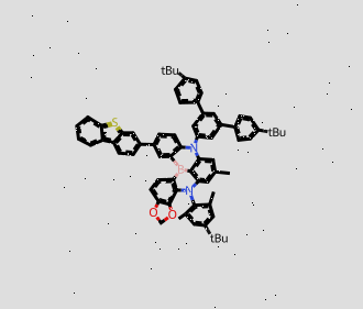 Cc1cc2c3c(c1)N(c1c(C)cc(C(C)(C)C)cc1C)c1c(ccc4c1OCO4)B3c1cc(-c3ccc4c(c3)sc3ccccc34)ccc1N2c1cc(-c2ccc(C(C)(C)C)cc2)cc(-c2ccc(C(C)(C)C)cc2)c1